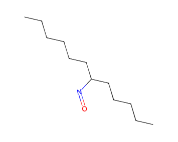 CCCCCCC(CCCCC)N=O